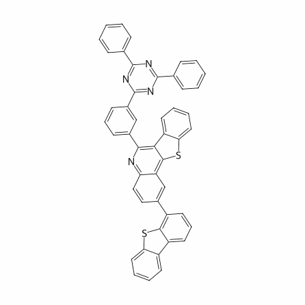 c1ccc(-c2nc(-c3ccccc3)nc(-c3cccc(-c4nc5ccc(-c6cccc7c6sc6ccccc67)cc5c5sc6ccccc6c45)c3)n2)cc1